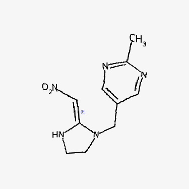 Cc1ncc(CN2CCN/C2=C\[N+](=O)[O-])cn1